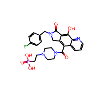 O=C1c2c(c(C(=O)N3CCN(CCP(=O)(O)O)CC3)c3cccnc3c2O)CN1Cc1ccc(F)cc1